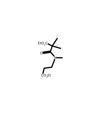 CCOC(=O)CCN(C)C(=O)C(C)(C)C(=O)OCC